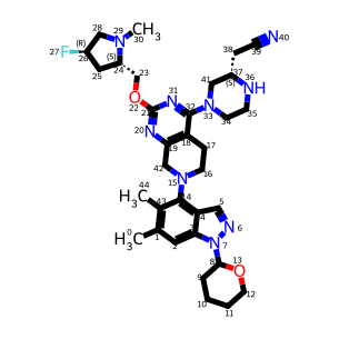 Cc1cc2c(cnn2C2CCCCO2)c(N2CCc3c(nc(OC[C@@H]4C[C@@H](F)CN4C)nc3N3CCN[C@@H](CC#N)C3)C2)c1C